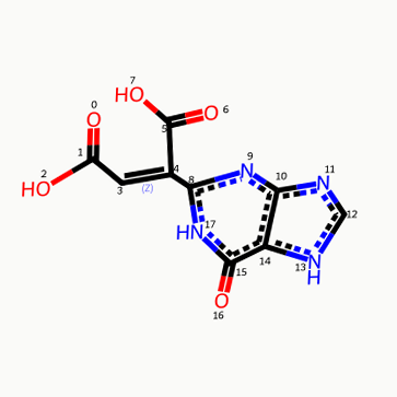 O=C(O)/C=C(\C(=O)O)c1nc2nc[nH]c2c(=O)[nH]1